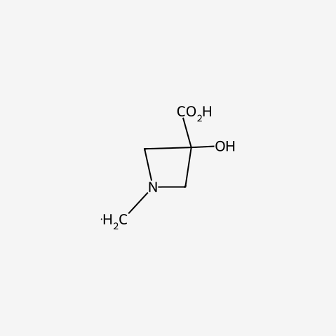 [CH2]N1CC(O)(C(=O)O)C1